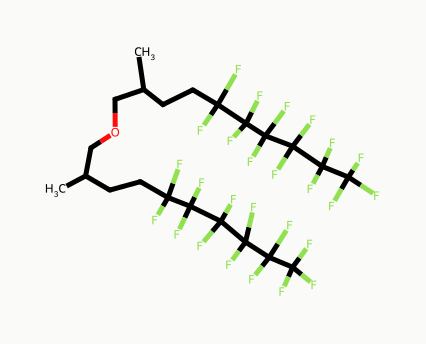 CC(CCC(F)(F)C(F)(F)C(F)(F)C(F)(F)C(F)(F)C(F)(F)F)COCC(C)CCC(F)(F)C(F)(F)C(F)(F)C(F)(F)C(F)(F)C(F)(F)F